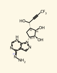 N/N=c1/nc[nH]c2c1cnn2[C@@H]1C[C@H](C(O)C#CC(F)(F)F)[C@@H](O)[C@H]1O